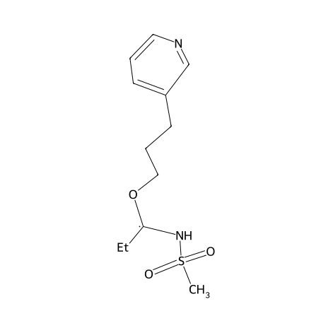 CC[C](NS(C)(=O)=O)OCCCc1cccnc1